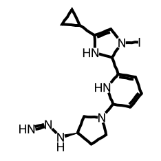 N=NN[C@@H]1CCN(C2C=CC=C(C3NC(C4CC4)=CN3I)N2)C1